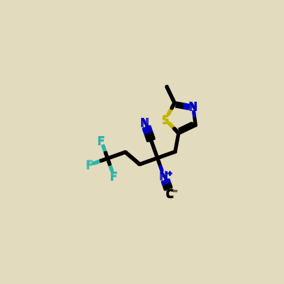 [C-]#[N+]C(C#N)(CCC(F)(F)F)Cc1cnc(C)s1